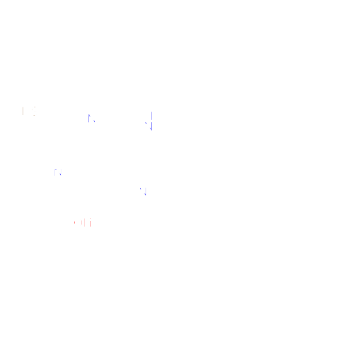 Oc1nc(S)nc2[nH]c(/C=C/c3ccccc3)nc12